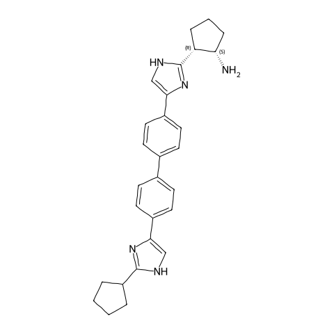 N[C@H]1CCC[C@H]1c1nc(-c2ccc(-c3ccc(-c4c[nH]c(C5CCCC5)n4)cc3)cc2)c[nH]1